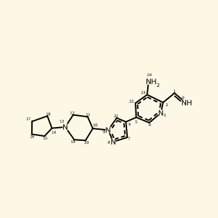 N=Cc1ncc(-c2cnn(C3CCN(C4CCCC4)CC3)c2)cc1N